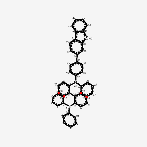 c1ccc(N(c2ccccc2)c2ccccc2-c2ccccc2N(c2ccccc2)c2ccc(-c3ccc4c(c3)sc3ccccc34)cc2)cc1